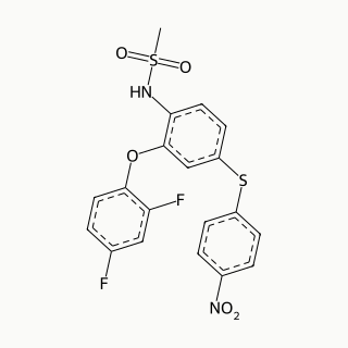 CS(=O)(=O)Nc1ccc(Sc2ccc([N+](=O)[O-])cc2)cc1Oc1ccc(F)cc1F